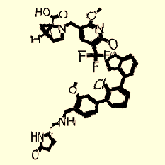 COc1cc(-c2cccc(-c3cccc4c3CC[C@@H]4Oc3nc(OC)c(CN4CC[C@@H]5C[C@@]54C(=O)O)cc3C(F)(F)F)c2Cl)ccc1CNC[C@@H]1CCC(=O)N1